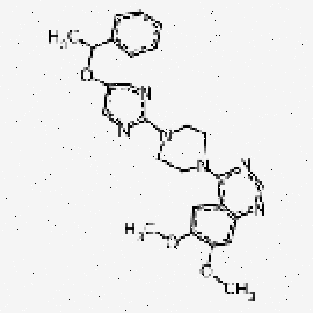 COc1cc2ncnc(N3CCN(c4ncc(O[C@@H](C)c5ccccc5)cn4)CC3)c2cc1OC